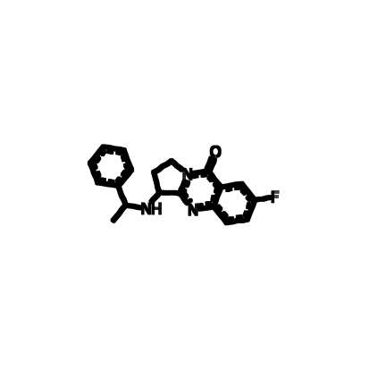 CC(NC1CCn2c1nc1ccc(F)cc1c2=O)c1ccccc1